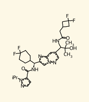 CC(C)n1nccc1C(=O)N[C@H](c1cn2ncc(C(NC(=O)CC3CC(F)(F)C3)C(C)(C)O)cc2n1)C1CCC(F)(F)CC1